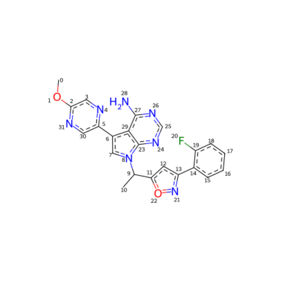 COc1cnc(-c2cn(C(C)c3cc(-c4ccccc4F)no3)c3ncnc(N)c23)cn1